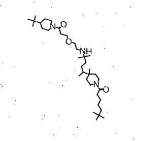 CC(CCC(C)(C)NCCOCCC(=O)N1CCC(C(C)(C)C)CC1)C1(C)CCN(C(=O)CCCCC(C)(C)C)CC1